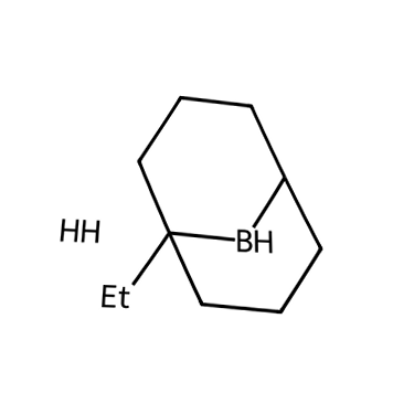 CCC12BC(CCC1)CCC2.[HH]